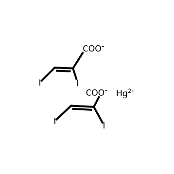 O=C([O-])C(I)=CI.O=C([O-])C(I)=CI.[Hg+2]